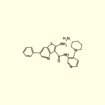 Nc1sc2cc(-c3ccccc3)cnc2c1C(=O)Nc1cnccc1N1CCC[C@@H](N)C1